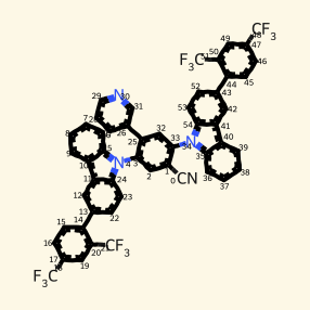 N#Cc1cc(-n2c3ccccc3c3cc(-c4ccc(C(F)(F)F)cc4C(F)(F)F)ccc32)c(-c2cccnc2)cc1-n1c2ccccc2c2cc(-c3ccc(C(F)(F)F)cc3C(F)(F)F)ccc21